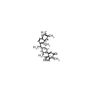 Cc1nc2ccc(C(C)N3C[C@H](C)N(c4cc(=O)n(C)c5c[nH]nc45)C[C@H]3C)cc2nc1C